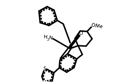 COC1CCC2(CC1)Cc1ccc(-c3cncs3)cc1C21N=C(N)N(Cc2ccccc2)C1=O